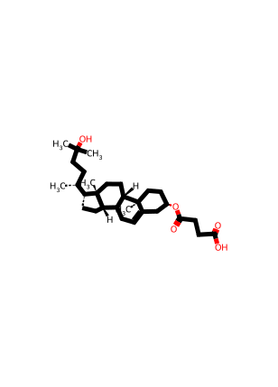 C[C@H](CCC(C)(C)O)[C@H]1CC[C@H]2C3CC=C4C[C@@H](OC(=O)CCC(=O)O)CC[C@]4(C)[C@H]3CC[C@]12C